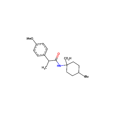 COc1ccc(C(C)C(=O)NC2(C(=O)O)CCC(C(C)(C)C)CC2)cc1